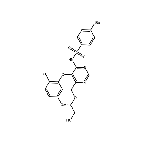 COc1ccc(Cl)c(Oc2c(COCCO)ncnc2NS(=O)(=O)c2ccc(C(C)(C)C)cc2)c1